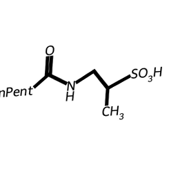 CCCCCC(=O)NCC(C)S(=O)(=O)O